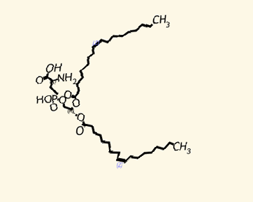 CCCCCCCC/C=C\CCCCCCCC(=O)OC[C@H](COP(=O)(O)CC[C@H](N)C(=O)O)OC(=O)CCCCCCC/C=C\CCCCCCCC